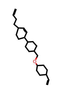 C=CCCC1C=CC(C2CCC(COC3CCC(C=C)CC3)CC2)CC1